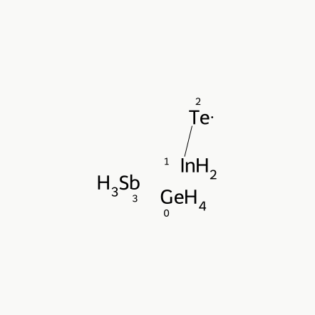 [GeH4].[InH2][Te].[SbH3]